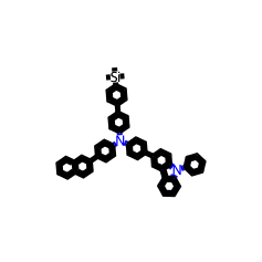 C[Si](C)(C)c1ccc(-c2ccc(N(c3ccc(-c4ccc5ccccc5c4)cc3)c3ccc(-c4ccc5c(c4)c4ccccc4n5-c4ccccc4)cc3)cc2)cc1